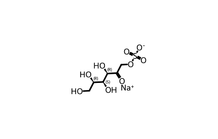 O=C(COS(=O)(=O)[O-])[C@H](O)[C@@H](O)[C@H](O)CO.[Na+]